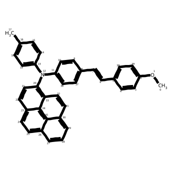 COc1ccc(C=Cc2ccc(N(c3ccc(C)cc3)c3ccc4ccc5cccc6ccc3c4c56)cc2)cc1